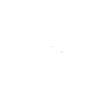 CC(C)C(=O)Oc1ccc(-c2ccccc2)cc1